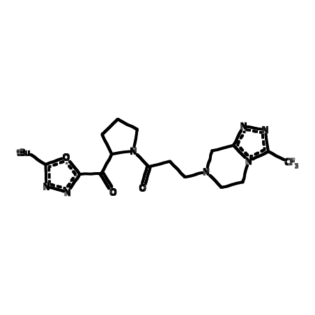 CC(C)(C)c1nnc(C(=O)C2CCCN2C(=O)CCN2CCn3c(nnc3C(F)(F)F)C2)o1